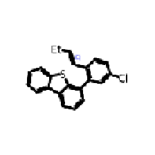 CC/C=C/c1ccc(Cl)cc1-c1cccc2c1sc1ccccc12